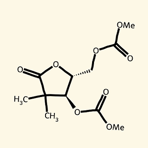 COC(=O)OC[C@H]1OC(=O)C(C)(C)[C@@H]1OC(=O)OC